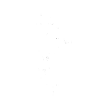 CCCN(CCCCN1CCN(C(=O)OCSC(C)=O)CCC1=O)C(C)Cc1ccc(S(C)(=O)=O)cc1